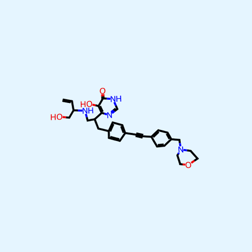 C=CC(CO)NCC(Cc1ccc(C#Cc2ccc(CN3CCOCC3)cc2)cc1)c1nc[nH]c(=O)c1O